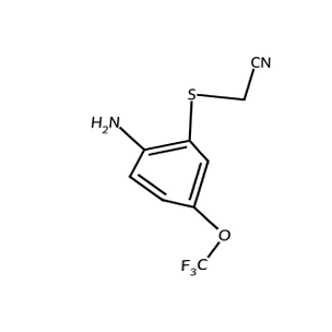 N#CCSc1cc(OC(F)(F)F)ccc1N